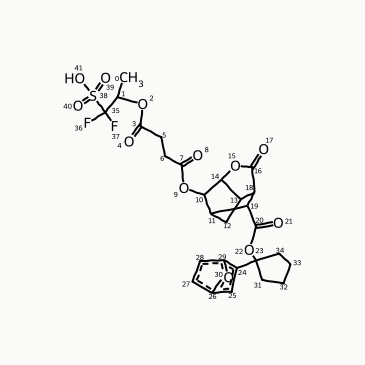 CC(OC(=O)CCC(=O)OC1C2CC3C1OC(=O)C3C2C(=O)OC1(c2cc3ccc2o3)CCCC1)C(F)(F)S(=O)(=O)O